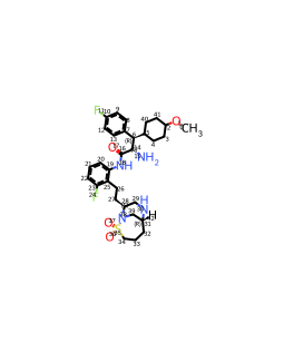 COC1CCC([C@H](c2ccc(F)cc2)[C@H](N)C(=O)Nc2cccc(F)c2CC[C@H]2CN[C@@H]3CCCS(=O)(=O)N2C3)CC1